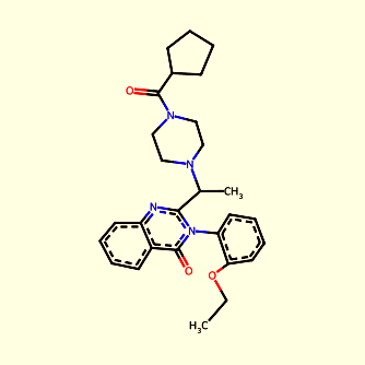 CCOc1ccccc1-n1c(C(C)N2CCN(C(=O)C3CCCC3)CC2)nc2ccccc2c1=O